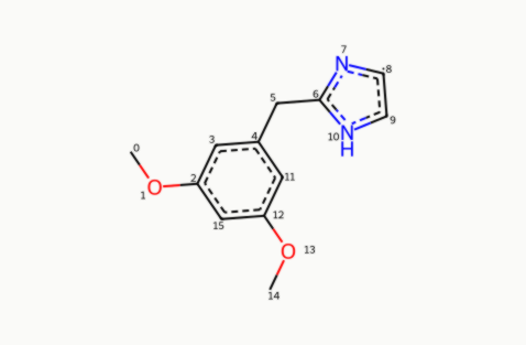 COc1cc(Cc2n[c]c[nH]2)cc(OC)c1